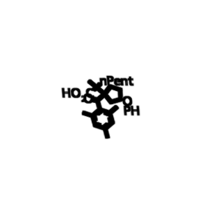 CCCCCC(C)(C(=O)O)C1(C(=O)c2c(C)cc(C)cc2C)CCCC1.O=P